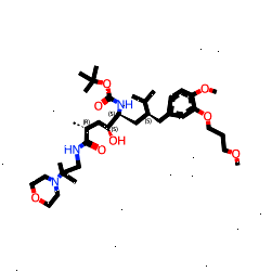 COCCCOc1cc(C[C@@H](C[C@H](NC(=O)OC(C)(C)C)[C@@H](O)C[C@@H](C)C(=O)NCC(C)(C)N2CCOCC2)C(C)C)ccc1OC